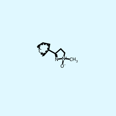 C[N+]1([O-])CCC(c2ccccc2)=N1